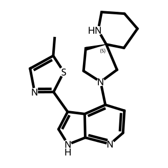 Cc1cnc(-c2c[nH]c3nccc(N4CC[C@@]5(CCCCN5)C4)c23)s1